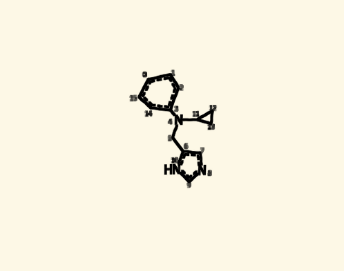 c1ccc(N(Cc2cnc[nH]2)C2CC2)cc1